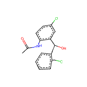 CC(=O)Nc1ccc(Cl)cc1C(O)c1ccccc1Cl